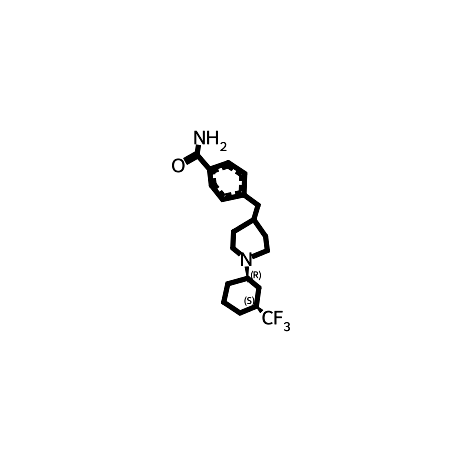 NC(=O)c1ccc(CC2CCN([C@@H]3CCC[C@H](C(F)(F)F)C3)CC2)cc1